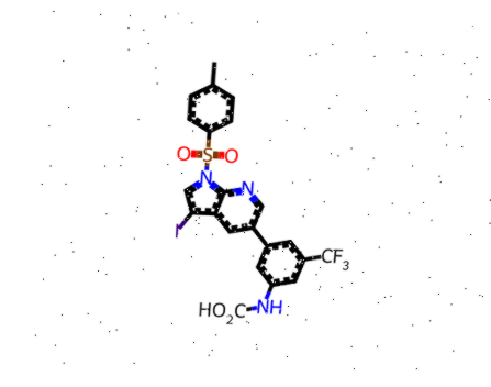 Cc1ccc(S(=O)(=O)n2cc(I)c3cc(-c4cc(NC(=O)O)cc(C(F)(F)F)c4)cnc32)cc1